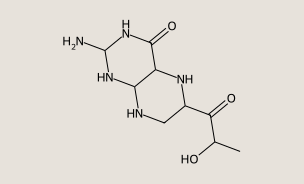 CC(O)C(=O)C1CNC2NC(N)NC(=O)C2N1